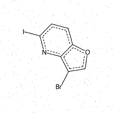 Brc1coc2ccc(I)nc12